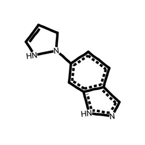 C1=CNN(c2ccc3cn[nH]c3c2)C1